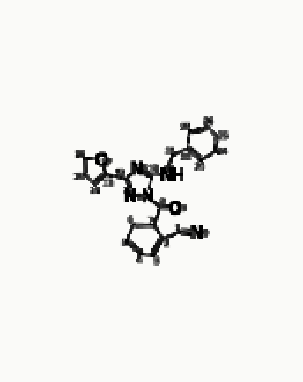 N#Cc1ccccc1C(=O)n1nc(-c2ccco2)nc1NCc1ccccc1